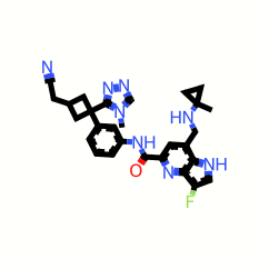 Cn1cnnc1C1(c2cccc(NC(=O)c3cc(CNC4(C)CC4)c4[nH]cc(F)c4n3)c2)CC(CC#N)C1